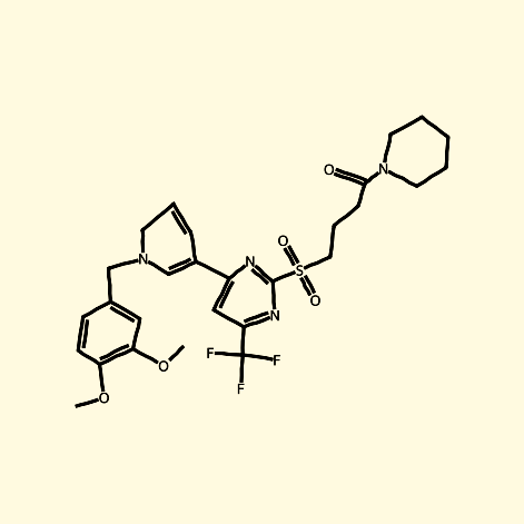 COc1ccc(CN2C=C(c3cc(C(F)(F)F)nc(S(=O)(=O)CCCC(=O)N4CCCCC4)n3)C=CC2)cc1OC